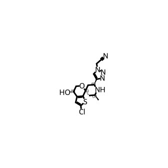 C[C@H]1C[C@@]2(C[C@@H](c3cn(CC#N)nn3)N1)OC[C@@H](O)c1cc(Cl)sc12